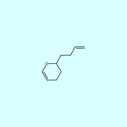 C=CCCC1CCC=CO1